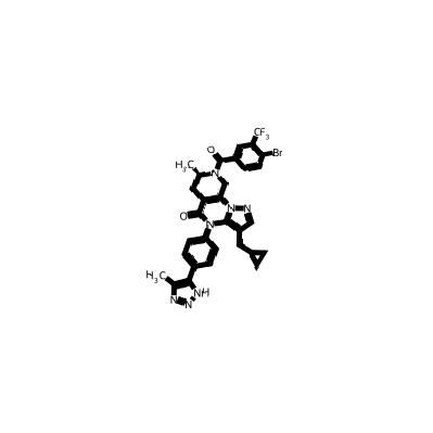 Cc1nn[nH]c1-c1ccc(-n2c(=O)c3c(n4ncc(CC5CC5)c24)CN(C(=O)c2ccc(Br)c(C(F)(F)F)c2)[C@H](C)C3)cc1